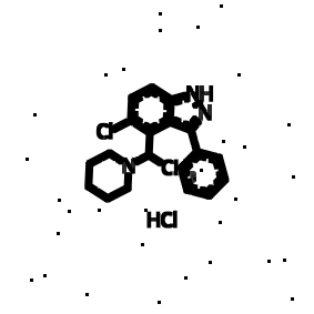 CC(c1c(Cl)ccc2[nH]nc(-c3ccccc3)c12)N1CCCCC1.Cl